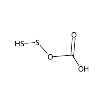 O=C(O)OSS